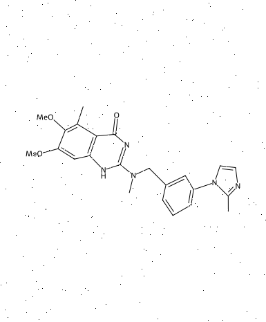 COc1cc2[nH]c(N(C)Cc3cccc(-n4ccnc4C)c3)nc(=O)c2c(C)c1OC